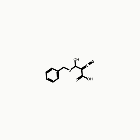 OC(=S)C(=C=S)C(O)SCc1ccccc1